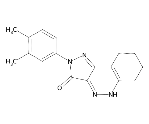 Cc1ccc(-n2nc3c4c([nH]nc-3c2=O)CCCC4)cc1C